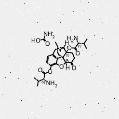 CC(C)[C@H](N)C(=O)Oc1ccc2c3c1O[C@H]1C(=O)CC[C@@]4(OC(=O)[C@@H](N)C(C)C)[C@@H](C2)N(C)CC[C@]314.NC(=O)O